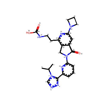 CC(C)n1cnnc1-c1cccc(N2Cc3c(cc(N4CCC4)nc3CCNC(=O)O)C2=O)n1